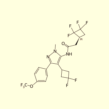 Cn1nc(-c2ccc(OC(F)(F)F)cc2)c(C2CC(F)(F)C2)c1NC(=O)C[C@@H]1CC(F)(F)C1(F)F